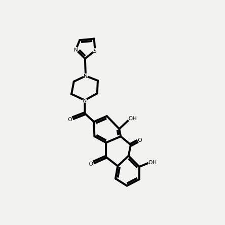 O=C1c2cccc(O)c2C(=O)c2c(O)cc(C(=O)N3CCN(c4nccs4)CC3)cc21